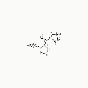 O=C(O)C1CCCN1C(=O)c1cnon1